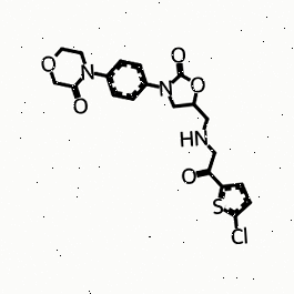 O=C(CNCC1CN(c2ccc(N3CCOCC3=O)cc2)C(=O)O1)c1ccc(Cl)s1